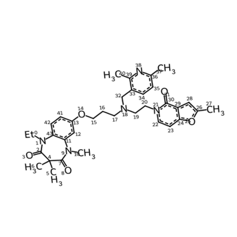 CCN1C(=O)C(C)(C)C(=O)N(C)c2cc(OCCCN(CCn3ccc4oc(C)cc4c3=O)Cc3ccc(C)nc3C)ccc21